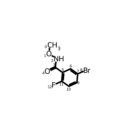 CONC(=O)c1cc(Br)ccc1F